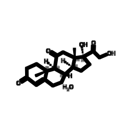 C[C@]12CCC(=O)C=C1CC[C@@H]1[C@@H]2C(=O)C[C@@]2(C)[C@H]1CC[C@]2(O)C(=O)CO.O